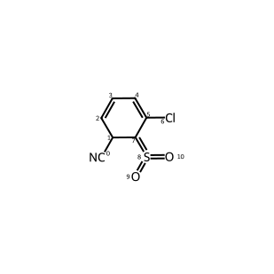 N#CC1C=CC=C(Cl)C1=S(=O)=O